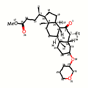 CC[C@H]1C(=O)[C@@H]2[C@H](CC[C@]3(C)[C@@H]([C@H](C)CCC(=O)OC)CC[C@@H]23)[C@@]2(C)CCC(O[C@@H]3CCCOC3)C[C@@H]12